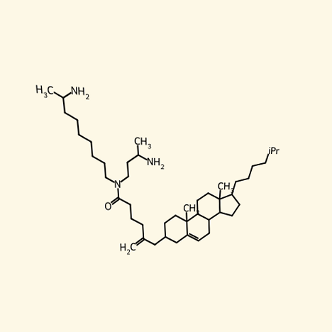 C=C(CCCC(=O)N(CCCCCCCC(C)N)CCC(C)N)CC1CCC2(C)C(=CCC3C2CCC2(C)C(CCCCC(C)C)CCC32)C1